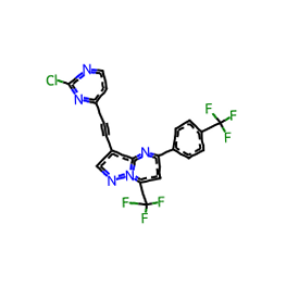 FC(F)(F)c1ccc(-c2cc(C(F)(F)F)n3ncc(C#Cc4ccnc(Cl)n4)c3n2)cc1